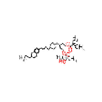 C=C(C)C(=O)OCCC(CCOC(=O)C(C)(C)CO)CC1CCC(CCCCc2ccc3c(c2)CCC(CCC)C3)CC1